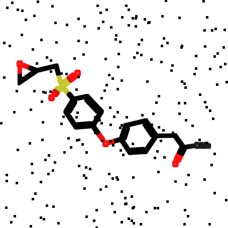 COC(=O)Cc1ccc(Oc2ccc(S(=O)(=O)CC3CO3)cc2)cc1